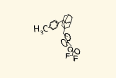 Cc1ccc(C23CC4CC(CC(COC(=O)COC(=O)C(F)F)(C4)C2)C3)cc1